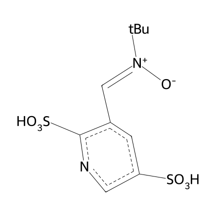 CC(C)(C)[N+]([O-])=Cc1cc(S(=O)(=O)O)cnc1S(=O)(=O)O